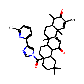 CC1C(=O)C(C#N)=CC2(C)C3=CC(=O)C4C(CCC5(C(=O)n6cnc(-c7cccc(C(F)(F)F)n7)c6)CCC(C)(C)CC45)C3(C)CCC12